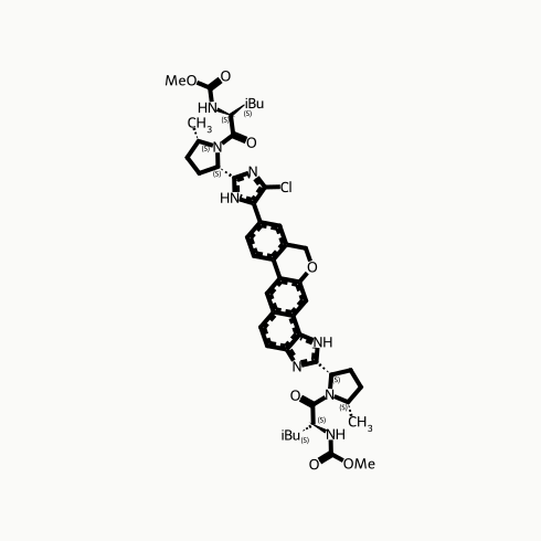 CC[C@H](C)[C@H](NC(=O)OC)C(=O)N1[C@@H](C)CC[C@H]1c1nc(Cl)c(-c2ccc3c(c2)COc2cc4c(ccc5nc([C@@H]6CC[C@H](C)N6C(=O)[C@@H](NC(=O)OC)[C@@H](C)CC)[nH]c54)cc2-3)[nH]1